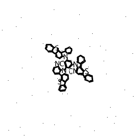 N#Cc1c(-n2c3ccccc3c3c4sc5ccccc5c4ccc32)cc(-n2c3ccccc3c3c4sc5ccccc5c4ccc32)c(C#N)c1-n1c2ccccc2c2c3sc4ccccc4c3ccc21